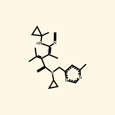 C=N/C(NC1(C)CC1)=C(\C)C(C(=C)N(Cc1cc(C)ncn1)C1CC1)=C(C)C